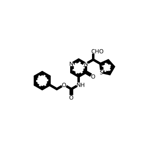 O=CC(c1cccs1)n1cncc(NC(=O)OCc2ccccc2)c1=O